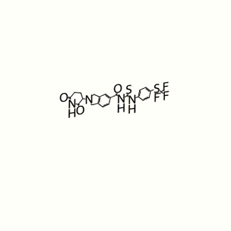 O=C1CCC(N2Cc3ccc(C(=O)NC(=S)Nc4ccc(SC(F)(F)F)cc4)cc3C2)C(=O)N1